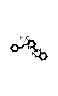 Cc1ccc(-c2ncc3ccccc3n2)nc1CCc1ccccc1